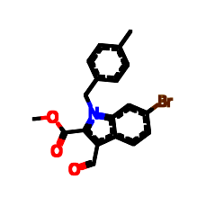 COC(=O)c1c(C=O)c2ccc(Br)cc2n1Cc1ccc(C)cc1